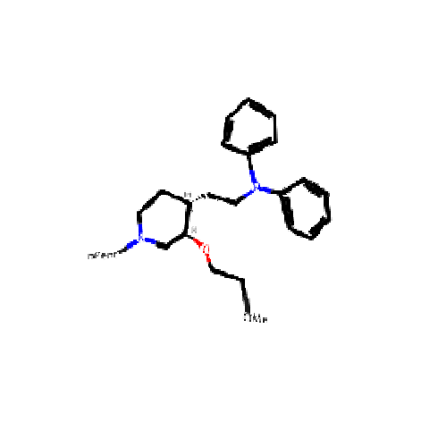 CCCCCN1CC[C@H](CCN(c2ccccc2)c2ccccc2)[C@@H](OCCOC)C1